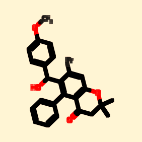 CC(C)c1cc2c(c(-c3ccccc3)c1C(O)c1ccc(OC(F)(F)F)cc1)C(=O)CC(C)(C)O2